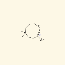 CC(=O)/C1=C/SCCCC(C)(C)CC1